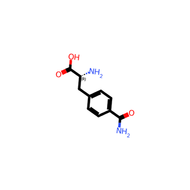 NC(=O)c1ccc(C[C@@H](N)C(=O)O)cc1